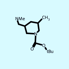 CNCC1CC(C)CN(C(=O)OC(C)(C)C)C1